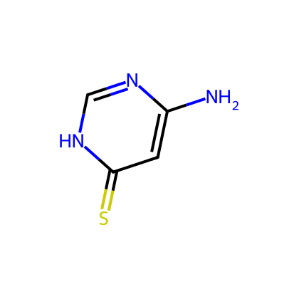 Nc1cc(=S)[nH]cn1